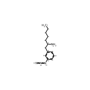 CCCCCC(N)Cc1cccc(N=[N+]=[N-])c1